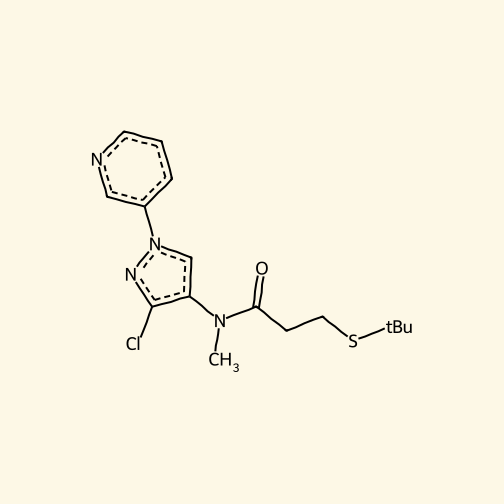 CN(C(=O)CCSC(C)(C)C)c1cn(-c2cccnc2)nc1Cl